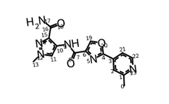 Cc1cc(-c2nc(C(=O)Nc3cn(C)nc3C(N)=O)co2)ccn1